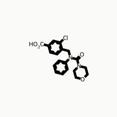 O=C(O)c1ccc(CN(C(=O)N2CCOCC2)c2ccccc2)c(Cl)c1